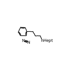 CCCCCCCCCCc1ccccc1.N#N